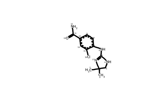 CC1(C)CNC(Nc2ccc(C(N)=O)cc2Cl)=N1